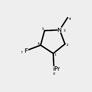 CC(C)C1CN(C)CC1F